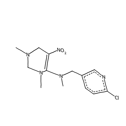 CN1CC([N+](=O)[O-])=C(N(C)Cc2ccc(Cl)nc2)N(C)C1